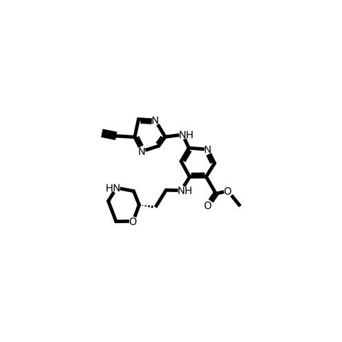 C#Cc1cnc(Nc2cc(NCC[C@H]3CNCCO3)c(C(=O)OC)cn2)cn1